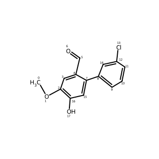 COc1cc(C=O)c(-c2cccc(Cl)c2)cc1O